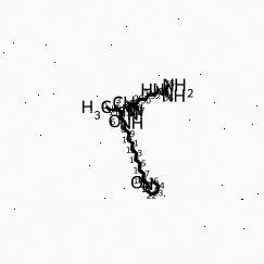 CC[C@H](C)[C@@H](C(=O)NCCCCCCCCCCC(=O)N1CCCCC1)n1cc(CCCCNC(=N)N)nn1